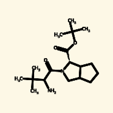 CC(C)(C)OC(=O)[C@@H]1C2CCCC2CN1C(=O)C(N)C(C)(C)C